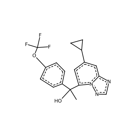 CC(O)(c1ccc(OC(F)(F)F)cc1)c1cc(C2CC2)cc2ncnn12